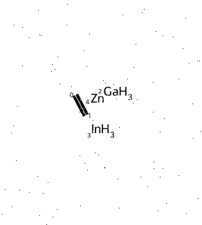 C=C.[GaH3].[InH3].[Zn]